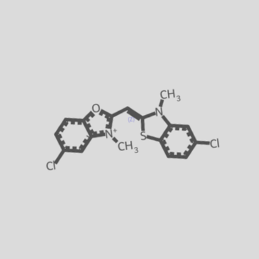 CN1/C(=C/c2oc3ccc(Cl)cc3[n+]2C)Sc2ccc(Cl)cc21